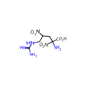 N=C(N)NCC(CC(N)(C(=O)O)[N+](=O)[O-])[N+](=O)[O-]